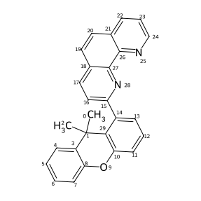 CC1(C)c2ccccc2Oc2cccc(-c3ccc4ccc5cccnc5c4n3)c21